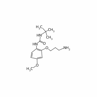 COc1ccc(NC(=O)NC(C)(C)C)c(OCCCN)c1